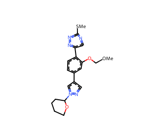 COCOc1cc(-c2cnn(C3CCCCO3)c2)ccc1-c1cnc(SC)nn1